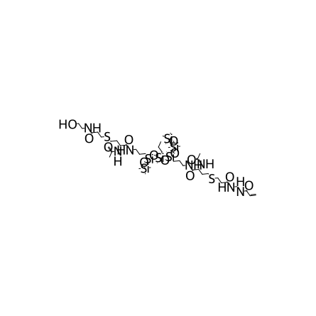 C=CC(=O)NCNC(=O)CCSCCC(NC(C)=O)C(=O)NCCC[Si](C)(O[Si](C)(C)O[Si](C)(C)C)O[Si](C)(CCC)O[Si](C)(CCCNC(=O)C(CCSCCC(=O)NCCO)NC(C)=O)O[Si](C)(C)C